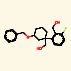 OCc1c(F)cccc1C1(CO)CCCC(OCc2ccccc2)C1